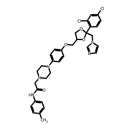 Cc1ccc(NC(=O)CN2CCN(c3ccc(OCC4COC(Cn5ccnc5)(c5ccc(Cl)cc5Cl)O4)cc3)CC2)cc1